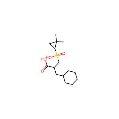 CC1(C)CC1P(=O)(O)CC(CC1CCCCC1)C(=O)O